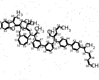 C=C/C1=C/C(/C(=C\C)c2cccc(-c3cccc(N(/C(C=C)=C/C=C\C)c4ccc(-c5ccc(C(=C)C/C=C\C=C/C)cc5)cc4)c3)c2)C2=CC(C=CC=C2)CN1/C(CC)=c1\oc2ccccc2\c1=C\C